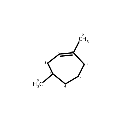 CC1=CCC(C)CC[CH]1